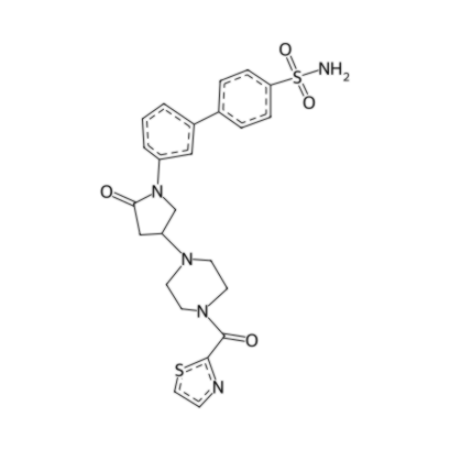 NS(=O)(=O)c1ccc(-c2cccc(N3CC(N4CCN(C(=O)c5nccs5)CC4)CC3=O)c2)cc1